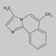 Cc1cn2c(C)cnc2c2ccccc12